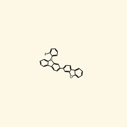 Fc1ccccc1-n1c2ccccc2c2ccc(-c3ccc4c(c3)oc3ccccc34)cc21